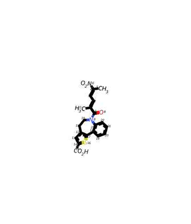 C/C(=C\C=C(/C)[N+](=O)[O-])C(=O)N1CCc2cc(C(=O)O)sc2-c2ccccc21